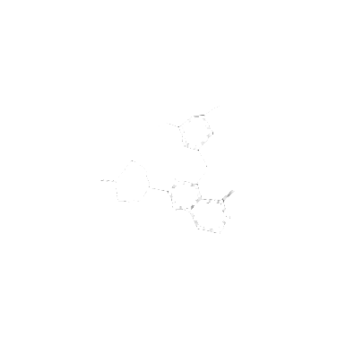 Cc1cc(Nc2nc(N3CCN(C)CC3)nc3cc[nH]c(=O)c23)cc(C(F)(F)F)c1